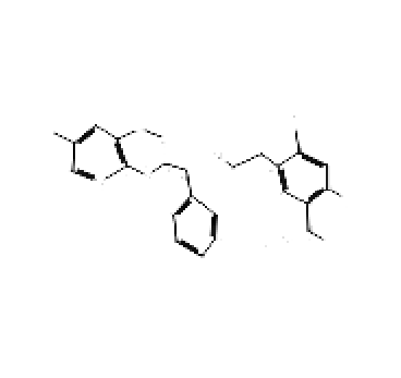 Cc1cc(C)c([C@H](C)C(=O)O)cc1CCN[C@H](c1ccccc1)[C@H]1CNc2cc(F)cnc2N1